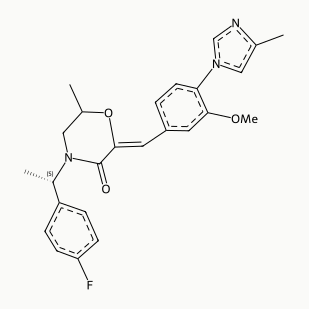 COc1cc(C=C2OC(C)CN([C@@H](C)c3ccc(F)cc3)C2=O)ccc1-n1cnc(C)c1